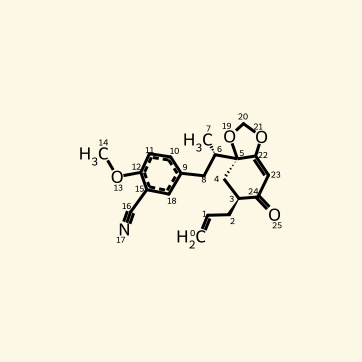 C=CC[C@H]1C[C@]2([C@@H](C)Cc3ccc(OC)c(C#N)c3)OCOC2=CC1=O